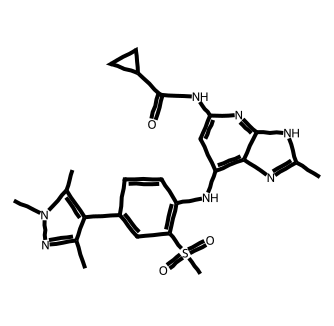 Cc1nc2c(Nc3ccc(-c4c(C)nn(C)c4C)cc3S(C)(=O)=O)cc(NC(=O)C3CC3)nc2[nH]1